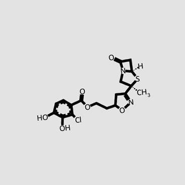 C[C@]1(C2=NOC(CCOC(=O)c3ccc(O)c(O)c3Cl)C2)CN2C(=O)C[C@H]2S1